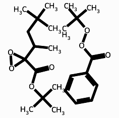 CC(C)(C)OOC(=O)c1ccccc1.CC(CC(C)(C)C)C1(C(=O)OC(C)(C)C)OO1